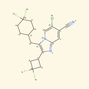 N#Cc1cc2nc(C3CC(F)(F)C3)c(CC3CCC(F)(F)CC3)n2cc1Cl